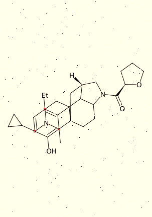 CCc1ccc(O)cc1C12CCN(CC3CC3)C(C)C13CCC1C2[C@@H](CN1C(=O)[C@H]1CCCO1)C3